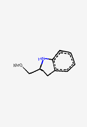 COCC1Cc2ccccc2N1